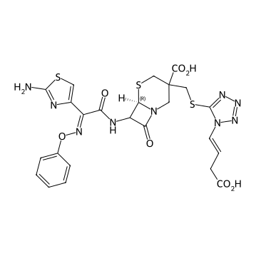 Nc1nc(C(=NOc2ccccc2)C(=O)NC2C(=O)N3CC(CSc4nnnn4C=CCC(=O)O)(C(=O)O)CS[C@H]23)cs1